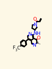 C=CC(=O)N1CCC(Nc2ncc(-c3ccc(C(F)(F)F)cc3)c3c2C(=O)[C@H](C)N=C3)C1